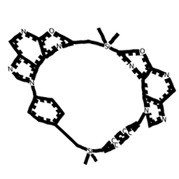 C[Si]1(C)Cc2ccc(cc2)-n2cnc3cnc4oc(nc4c32)C[Si](C)(C)c2nc3c(ncc4ncn(c43)-c3ccc1cc3)o2